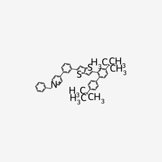 CC(C)(C)c1ccc(-c2ccc(C(C)(C)C)cc2-c2cc3sc(-c4cccc(-c5cc[n+](Cc6ccccc6)cc5)c4)cc3s2)cc1